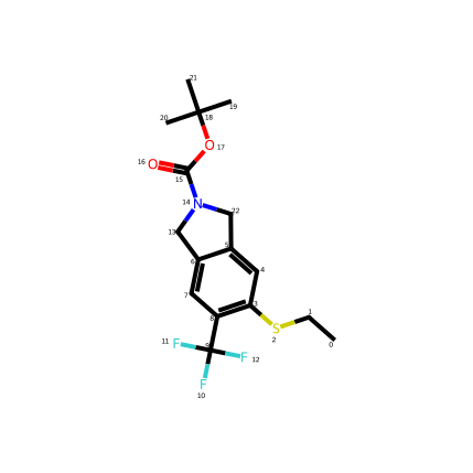 CCSc1cc2c(cc1C(F)(F)F)CN(C(=O)OC(C)(C)C)C2